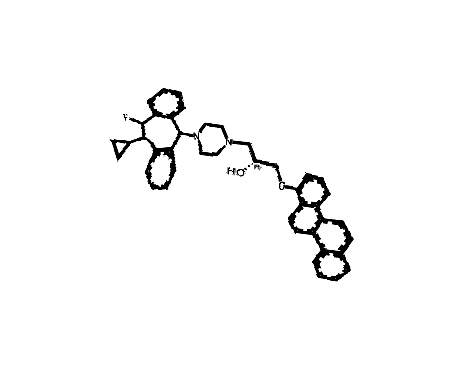 O[C@@H](COc1cccc2c1ccc1c3ccccc3ccc21)CN1CCN(C2c3ccccc3C(F)C(C3CC3)c3ccccc32)CC1